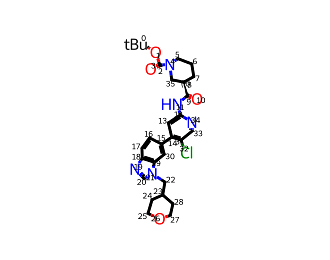 CC(C)(C)OC(=O)N1CCC[C@@H](C(=O)Nc2cc(-c3ccc4ncn(CC5CCOCC5)c4c3)c(Cl)cn2)C1